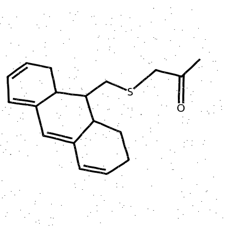 CC(=O)CSCC1C2CC=CC=C2C=C2C=CCCC21